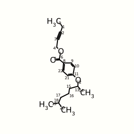 CCC#CCOC(=O)c1ccc(OC(C)CCCC(C)C)cc1